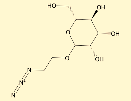 [N-]=[N+]=NCCOC1O[C@H](CO)[C@@H](O)[C@H](O)[C@@H]1O